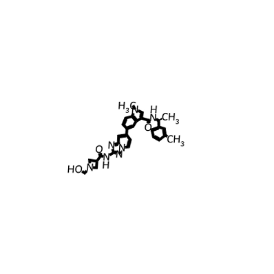 Cc1cccc([C@H](C)NC(=O)c2cn(C)c3ccc(-c4ccn5nc(NC(=O)C6CN(CO)C6)nc5c4)cc23)c1